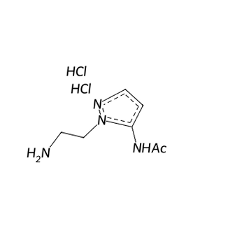 CC(=O)Nc1ccnn1CCN.Cl.Cl